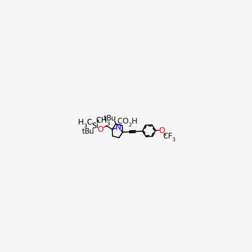 CC(C)(C)C1CC2(C#Cc3ccc(OC(F)(F)F)cc3)CCC1(CO[Si](C)(C)C(C)(C)C)N2C(=O)O